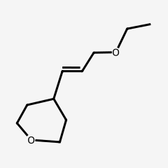 CCOC/C=C/C1CCOCC1